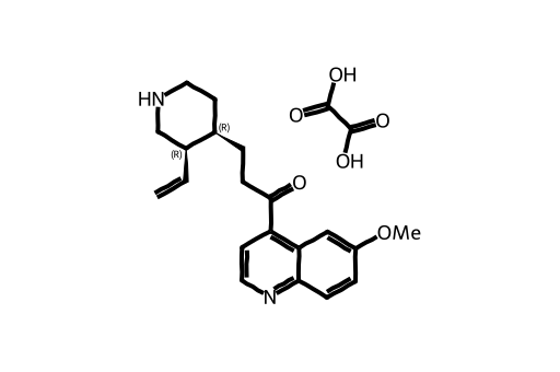 C=C[C@H]1CNCC[C@H]1CCC(=O)c1ccnc2ccc(OC)cc12.O=C(O)C(=O)O